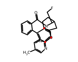 Cc1ccc(OC2CC3CCC2N(C(=O)c2ccccc2-c2ncccn2)C3CF)nc1